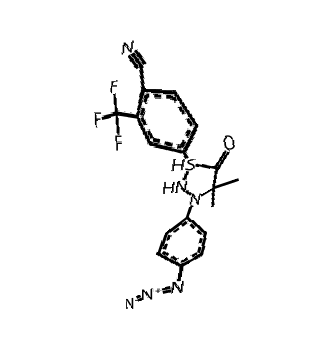 CC1(C)C(=O)[SH](c2ccc(C#N)c(C(F)(F)F)c2)NN1c1ccc(N=[N+]=[N-])cc1